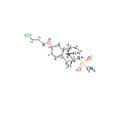 CS(=O)(=O)N1CC[C@]23CCCC[C@H]2[C@H]1Cc1ccc(OCCCCl)cc13